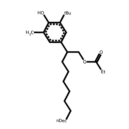 CCCCCCCCCCCCCCCCC(COC(=O)CC)c1cc(C)c(O)c(C(C)(C)C)c1